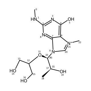 CNc1nc(O)c2c(n1)n([C@H](OC(CO)CO)[C@H](C)O)c[n+]2C